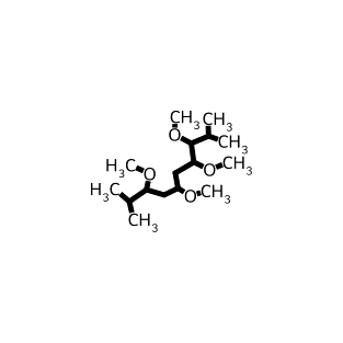 COC(CC(OC)C(C)C)CC(OC)C(OC)C(C)C